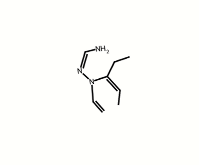 C=CN(/N=C\N)/C(=C\C)CC